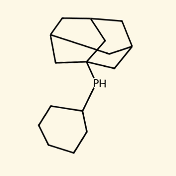 C1CCC(PC23CC4CC(CC(C4)C2)C3)CC1